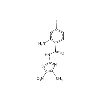 Cc1nc(NC(=O)c2ccc(I)cc2N)sc1[N+](=O)[O-]